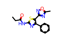 CCC(=O)Nc1nc(-c2ccccc2)c(-c2noc(C)n2)s1